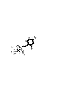 CC(C)(C)S(=O)(=O)/N=C/c1ccc(Br)cc1F